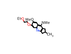 CCOCCOc1cc2nc3c(c(NC)c2cc1OC)CC(C)C3